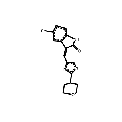 O=C1Nc2ccc(Cl)cc2/C1=C/c1cnc(C2CCOCC2)[nH]1